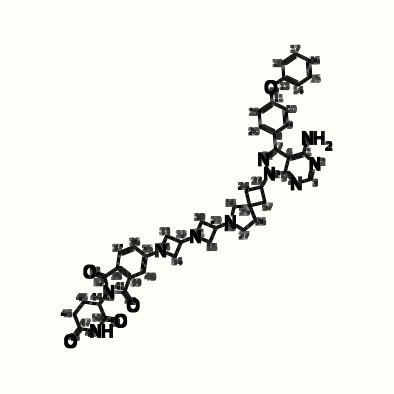 Nc1ncnc2c1c(-c1ccc(Oc3ccccc3)cc1)nn2C1CC2(CCN(C3CN(C4CN(c5ccc6c(c5)C(=O)N(C5CCC(=O)NC5=O)C6=O)C4)C3)C2)C1